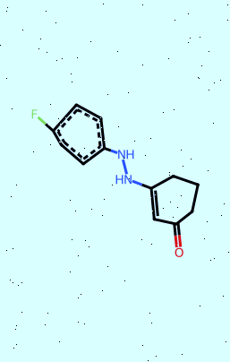 O=C1C=C(NNc2ccc(F)cc2)CCC1